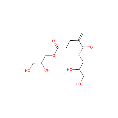 C=C(CCC(=O)OCC(O)CO)C(=O)OCC(O)CO